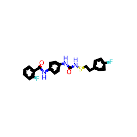 O=C(NSCCc1ccc(F)cc1)Nc1ccc(NC(=O)c2ccccc2F)cc1